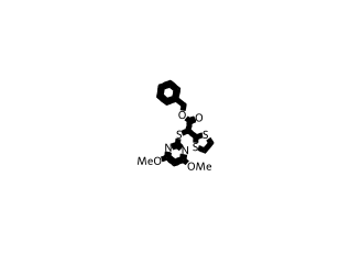 COc1cc(OC)nc(SC(C(=O)OCc2ccccc2)C2SCCS2)n1